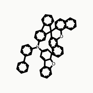 C1=C2c3ccccc3OC2CC=C1N(c1cccc(-c2ccccc2)c1)c1ccc2c(c1)C1(c3ccccc3-2)c2ccc3ccccc3c2Oc2c1ccc1ccccc21